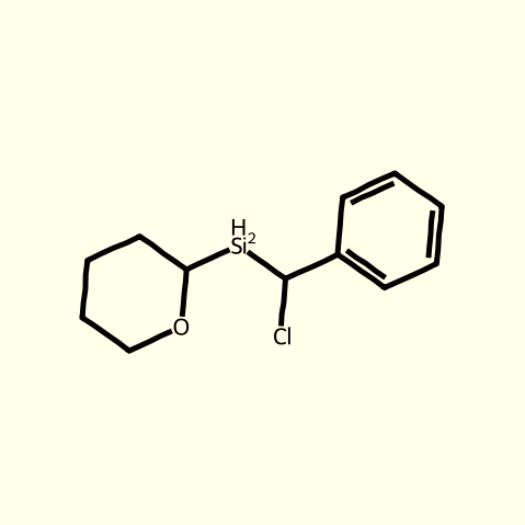 ClC([SiH2]C1CCCCO1)c1ccccc1